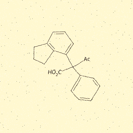 CC(=O)C(C(=O)O)(c1ccccc1)c1cccc2c1CCC2